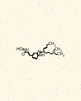 CCC=CC(CCCN(CC)CC)c1nc2cc(C=CC(=O)NO)ccc2[nH]1